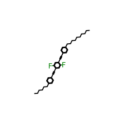 CCCCCCCCCCc1ccc(C#Cc2cc(F)c(C#Cc3ccc(CCCCCC)cc3)cc2F)cc1